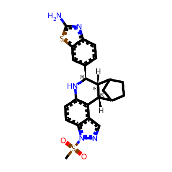 CS(=O)(=O)n1ncc2c3c(ccc21)N[C@@H](c1ccc2nc(N)sc2c1)[C@@H]1C2CCC(C2)[C@H]31